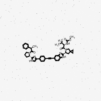 COC(=O)N[C@H](C(=O)N1CC2(CC2)C[C@H]1c1nc2cc(C#Cc3ccc(-c4c[nH]c([C@@H]5CCCN5C(=O)[C@H](C)c5ccccc5)n4)cc3)ccc2[nH]1)C(C)C